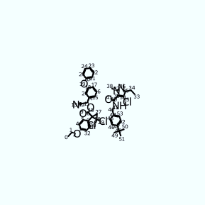 CCOc1ccc(C2(C(=O)OC(C#N)c3cccc(Oc4ccccc4)c3)CC2(Cl)Cl)cc1.CCc1nn(C)c(C(=O)NCc2ccc(C(C)(C)C)cc2)c1Cl